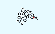 Cc1ccc2c(c1)N(c1cc(N3c4ccc(C)cc4C(c4ccccc4)(c4ccccc4)c4cc(C)ccc43)c(-c3ccc(C#N)cc3)cc1-c1ccc(C#N)cc1)c1cc(C)ccc1O2